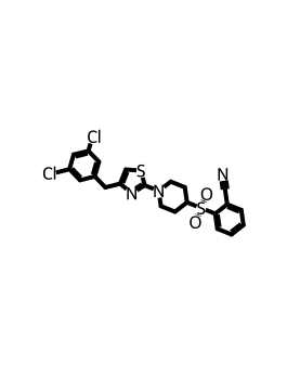 N#Cc1ccccc1S(=O)(=O)C1CCN(c2nc(Cc3cc(Cl)cc(Cl)c3)cs2)CC1